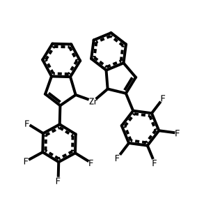 Fc1cc(C2=Cc3ccccc3[CH]2[Zr][CH]2C(c3cc(F)c(F)c(F)c3F)=Cc3ccccc32)c(F)c(F)c1F